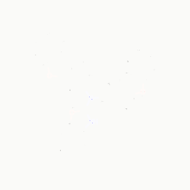 c1ccc2c3c(ccc2c1)NC(N(c1ccc2c(c1)oc1ccccc12)c1ccc2oc4ccccc4c2c1)O3